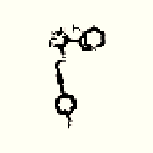 Fc1ccc(C#CCSc2nsnc2[C@@H]2CN3CCC[C@H]2C3)cc1